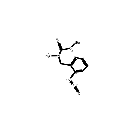 CN(Cc1ccccc1N=C=O)C(=O)OC(C)(C)C